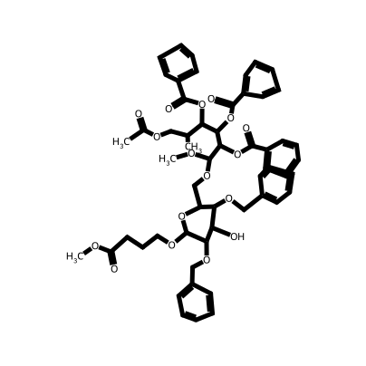 COC(=O)CCCOC1OC(COC(OC)C(OC(=O)c2ccccc2)C(OC(=O)c2ccccc2)C(OC(=O)c2ccccc2)C(C)COC(C)=O)C(OCc2ccccc2)C(O)C1OCc1ccccc1